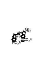 CCN(CC)CCC(NC(=O)Cc1ccc2ccccc2n1)c1ccccc1.O=C(O)C=CC(=O)O